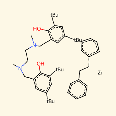 CN(CCN(C)Cc1cc(C(C)(C)C)cc(C(C)(C)C)c1O)Cc1cc(C(C)(C)C)cc(C(C)(C)C)c1O.[Zr].c1ccc(CCc2ccccc2)cc1